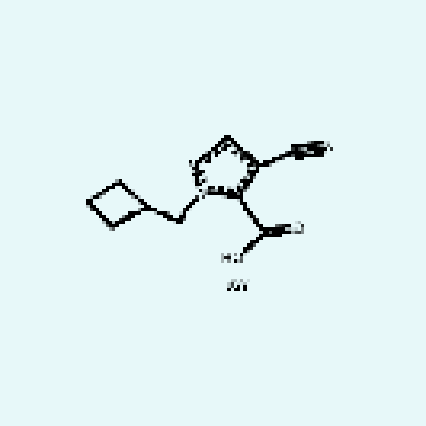 N#Cc1cnn(CC2CCC2)c1C(=O)O.[KH]